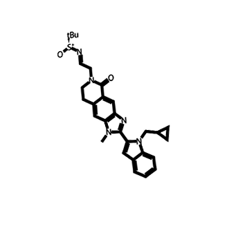 Cn1c(-c2cc3ccccc3n2CC2CC2)nc2cc3c(cc21)CCN(CC=N[S@+]([O-])C(C)(C)C)C3=O